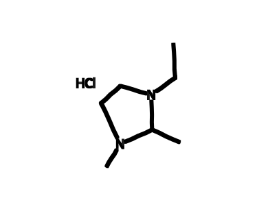 CCN1CCN(C)C1C.Cl